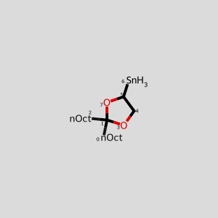 CCCCCCCCC1(CCCCCCCC)OC[CH]([SnH3])O1